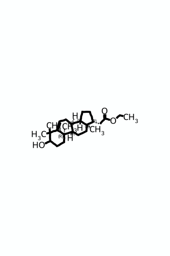 CCOC(=O)C[C@H]1CC[C@H]2[C@@H]3CC=C4C(C)(C)C(O)CC[C@]4(C)[C@H]3CC[C@]12C